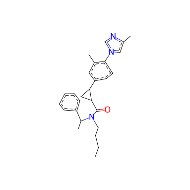 CCCCN(C(=O)C1CC1c1ccc(-n2cnc(C)c2)c(C)c1)C(C)c1ccccc1